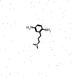 CN(C)CCCc1cc(N)ccc1N